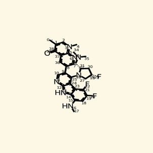 [CH2]c1cn(C)c2ncc(-c3cnc4[nH]c5c(NC)cc(F)c(F)c5c4c3N3C[C@@H](F)C[C@H]3CN(C)C)cc2c1=O